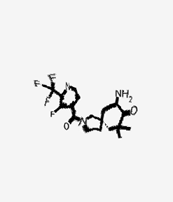 CC1(C)C[C@]2(C=C(N)C1=O)CCN(C(=O)c1ccnc(C(F)(F)F)c1F)C2